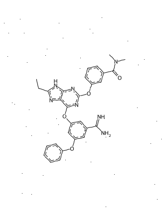 CCc1nc2c(Oc3cc(Oc4ccccc4)cc(C(=N)N)c3)nc(Oc3cccc(C(=O)N(C)C)c3)nc2[nH]1